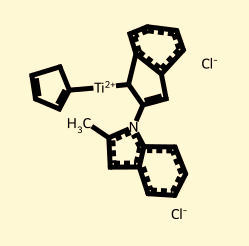 Cc1cc2ccccc2n1C1=Cc2ccccc2[CH]1[Ti+2][C]1=CC=CC1.[Cl-].[Cl-]